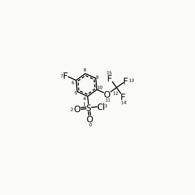 O=S(=O)(Cl)c1cc(F)ccc1OC(F)(F)F